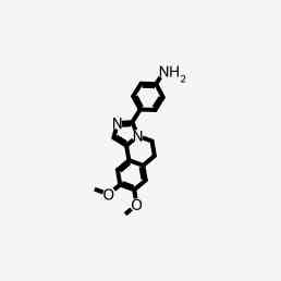 COc1cc2c(cc1OC)-c1cnc(-c3ccc(N)cc3)n1CC2